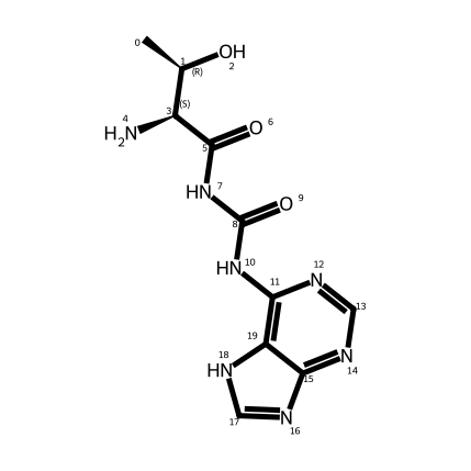 C[C@@H](O)[C@H](N)C(=O)NC(=O)Nc1ncnc2nc[nH]c12